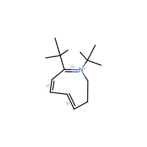 CC(C)(C)C1=[N+](\C(C)(C)C)CC/C=C/C=C\1